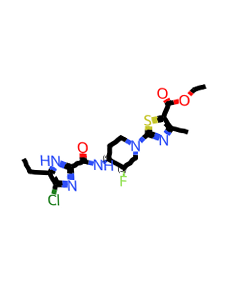 CCOC(=O)c1sc(N2CC[C@H](NC(=O)c3nc(Cl)c(CC)[nH]3)[C@@H](F)C2)nc1C